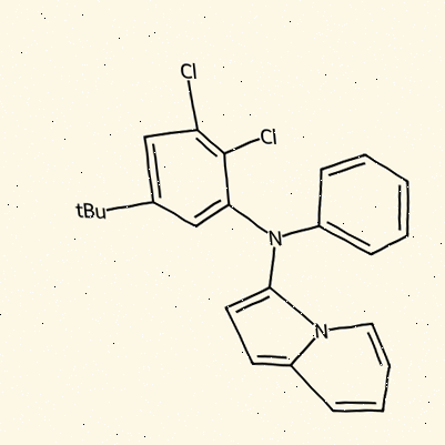 CC(C)(C)c1cc(Cl)c(Cl)c(N(c2ccccc2)c2ccc3ccccn23)c1